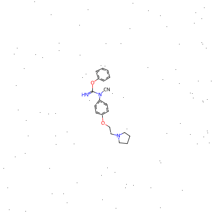 N#CN(C(=N)Oc1ccccc1)c1ccc(OCCN2CCCC2)cc1